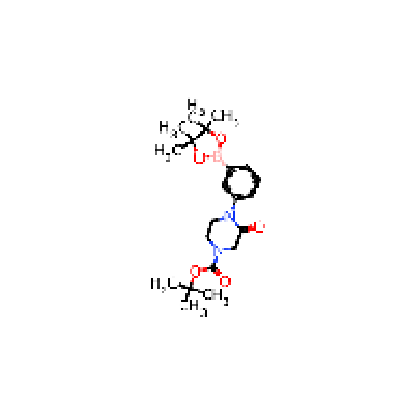 CC(C)(C)OC(=O)N1CCN(c2cccc(B3OC(C)(C)C(C)(C)O3)c2)C(=O)C1